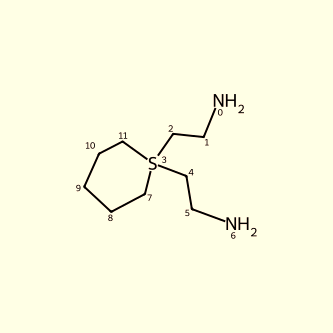 NCCS1(CCN)CCCCC1